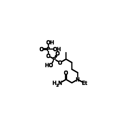 CCN(CCCC(C)OP(=O)(O)OP(=O)(O)O)CC(N)=O